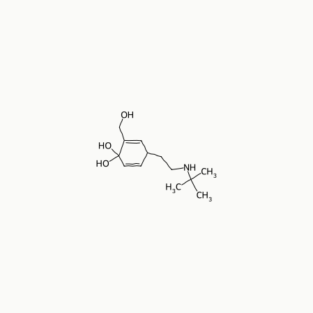 CC(C)(C)NCCC1C=CC(O)(O)C(CO)=C1